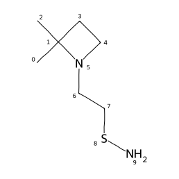 CC1(C)CCN1CCSN